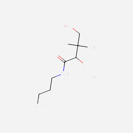 CC(C)(CO)C(O)C(=O)NCCCC(=O)O.[CaH2]